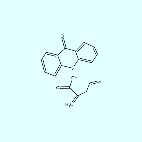 C=C(CC=S)C(=O)O.O=c1c2ccccc2sc2ccccc12